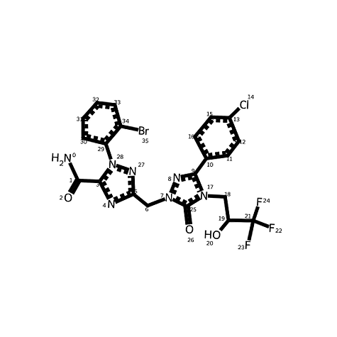 NC(=O)c1nc(Cn2nc(-c3ccc(Cl)cc3)n(CC(O)C(F)(F)F)c2=O)nn1-c1ccccc1Br